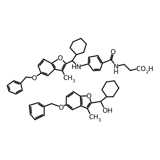 Cc1c(C(Nc2ccc(C(=O)NCCC(=O)O)cc2)C2CCCCC2)oc2ccc(OCc3ccccc3)cc12.Cc1c(C(O)C2CCCCC2)oc2ccc(OCc3ccccc3)cc12